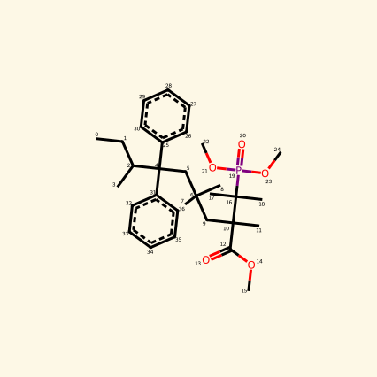 CCC(C)C(CC(C)(C)CC(C)(C(=O)OC)C(C)(C)P(=O)(OC)OC)(c1ccccc1)c1ccccc1